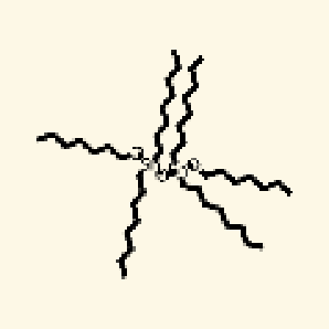 CCCCCCC[CH2][Sn]([CH2]CCCCCCC)([O]CCCCCCC)[O][Sn]([CH2]CCCCCCC)([CH2]CCCCCCC)[O]CCCCCCC